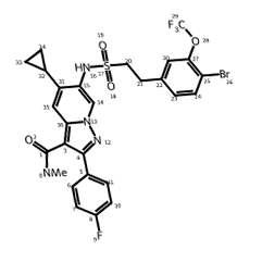 CNC(=O)c1c(-c2ccc(F)cc2)nn2cc(NS(=O)(=O)CCc3ccc(Br)c(OC(F)(F)F)c3)c(C3CC3)cc12